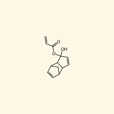 C=CC(=O)OC1(O)C=CC2C3C=CC(C3)C21